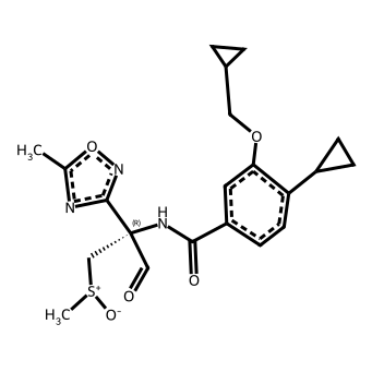 Cc1nc([C@@](C=O)(C[S+](C)[O-])NC(=O)c2ccc(C3CC3)c(OCC3CC3)c2)no1